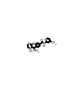 CCN1CCN=C(N)/C1=C(/N)c1ccc(C(=O)Nc2cc(C(F)(F)F)ccn2)cc1